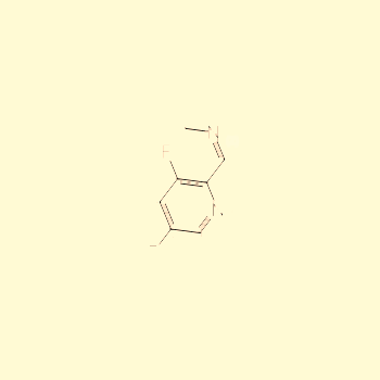 C/N=C\c1ncc(F)cc1F